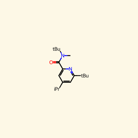 CC(C)c1cc(C(=O)N(C)C(C)(C)C)nc(C(C)(C)C)c1